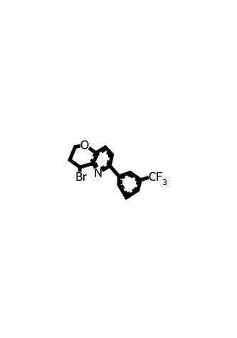 FC(F)(F)c1cccc(-c2ccc3c(n2)C(Br)CCO3)c1